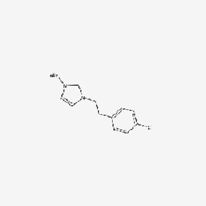 [CH2]CCN1C=CN(CCc2ccc(Cl)cc2)C1